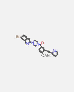 COc1ccc(C(=O)N2CCN(c3cc4ccc(Br)cc4cn3)CC2)cc1C#Cc1ccccn1